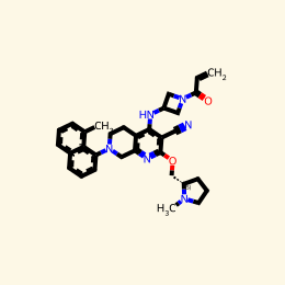 C=CC(=O)N1CC(Nc2c(C#N)c(OC[C@@H]3CCCN3C)nc3c2CCN(c2cccc4cccc(C)c24)C3)C1